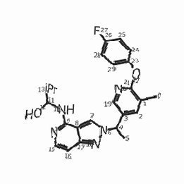 Cc1cc(C(C)n2cc3c(NC(O)C(C)C)nccc3n2)cnc1Oc1ccc(F)cc1